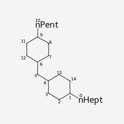 CCCCCCCC1CCC(CC2CCC(CCCCC)CC2)CC1